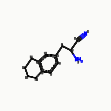 N#CC(N)Cc1ccc2c(c1)CCCC2